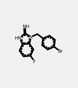 N=c1[nH]c2ccc(F)cc2n1Cc1ccc(Br)cc1